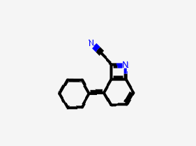 N#CC1=NC2=C1C(=C1CCCCC1)CC=C2